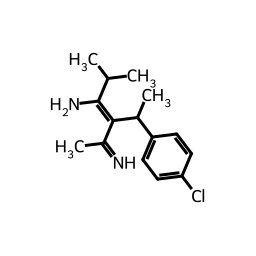 CC(=N)/C(=C(\N)C(C)C)C(C)c1ccc(Cl)cc1